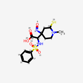 CN1CCC(N=O)(C(NS(=O)(=O)c2ccccc2)C(=O)O)CC1S